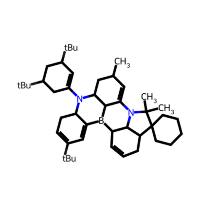 CC1C=C2C3B(C4=CC(C(C)(C)C)=CCC4N(C4=CC(C(C)(C)C)CC(C(C)(C)C)C4)C3C1)C1C=CCC3C1N2C(C)(C)C31CCCCC1